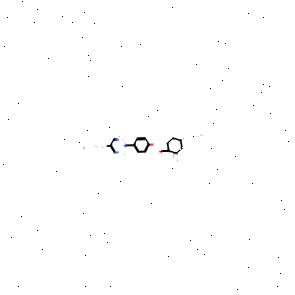 CCCCCCC[C@H]1CC[C@@](C#N)(C(=O)Oc2ccc(-c3ncc(CCCCCC)cn3)cc2)CC1